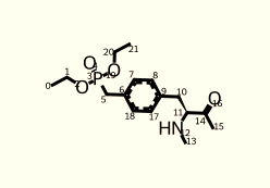 CCOP(=O)(Cc1ccc(C[C@H](NC)C(C)=O)cc1)OCC